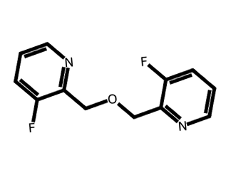 Fc1cccnc1COCc1ncccc1F